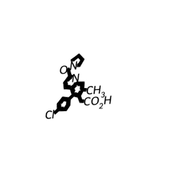 Cc1cc2nc(C(=O)N3CCCC3)ccc2c(-c2ccc(Cl)cc2)c1CC(=O)O